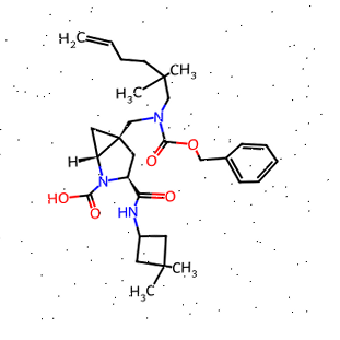 C=CCCC(C)(C)CN(C[C@@]12C[C@@H](C(=O)NC3CC(C)(C)C3)N(C(=O)O)[C@@H]1C2)C(=O)OCc1ccccc1